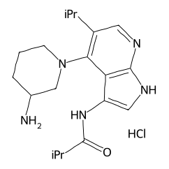 CC(C)C(=O)Nc1c[nH]c2ncc(C(C)C)c(N3CCCC(N)C3)c12.Cl